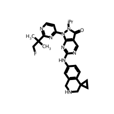 CC(C)n1c(=O)c2cnc(Nc3ccc4c(c3)CNCC43CC3)nc2n1-c1ccnc(C(C)(C)CF)n1